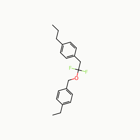 CCCc1ccc(CC(F)(F)OCc2ccc(CC)cc2)cc1